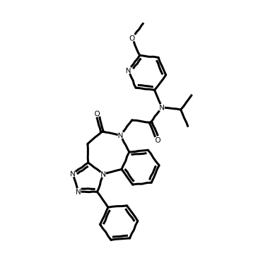 COc1ccc(N(C(=O)CN2C(=O)Cc3nnc(-c4ccccc4)n3-c3ccccc32)C(C)C)cn1